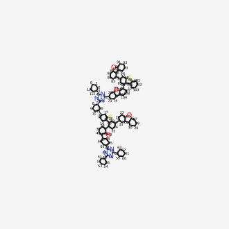 c1ccc(-c2nc(-c3cccc(-c4ccc5c(c4)sc4c(-c6ccc7oc8ccccc8c7c6)ccc(-c6cccc7c6oc6cc(-c8nc(-c9ccccc9)nc(-c9ccccc9)n8)ccc67)c45)c3)nc(-c3ccc4c(c3)oc3c(-c5cc(-c6cccc7oc8ccccc8c67)cc6sc7ccccc7c56)cccc34)n2)cc1